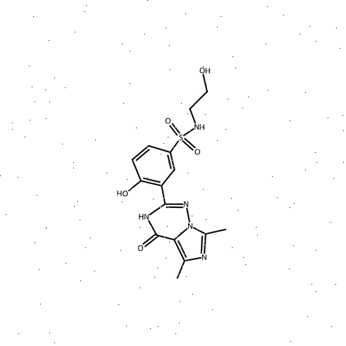 Cc1nc(C)n2nc(-c3cc(S(=O)(=O)NCCO)ccc3O)[nH]c(=O)c12